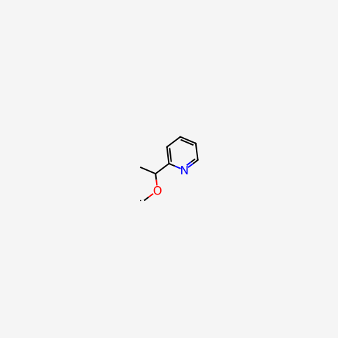 [CH2]OC(C)c1ccccn1